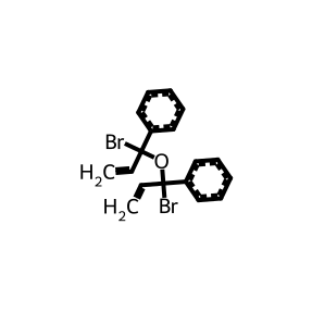 C=CC(Br)(OC(Br)(C=C)c1ccccc1)c1ccccc1